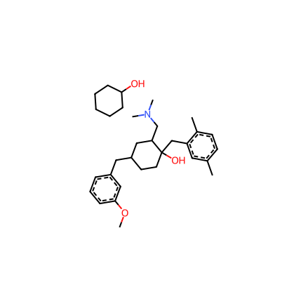 COc1cccc(CC2CCC(O)(Cc3cc(C)ccc3C)C(CN(C)C)C2)c1.OC1CCCCC1